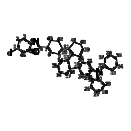 Ic1ccc2nc(C3=CC=C(C4=C(c5ccccc5-c5ccc6c(c5)c5ccccc5n6-c5ccccc5)C=CCC4)CC3)oc2c1